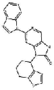 O=c1[nH]c2cnc(-n3cnc4ccccc43)nc2n1C1CCCc2sccc21